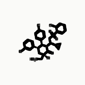 CC[C@]1(CC(=O)O)C[C@H](c2cccc(Cl)c2)[C@@H](c2ccc(Cl)cc2)N(C(CS(=O)(=O)c2ccccc2Cl)C2CC2)C1=O